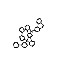 c1ccc(-c2cccc(C3(c4cccc(-c5ccccc5)c4)c4ccccc4-c4cc5c(cc43)c3ccccc3n5-c3ccc4ccc5ccccc5c4c3)c2)cc1